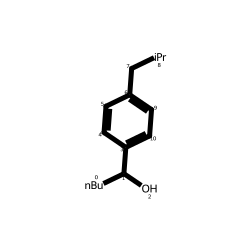 CCCCC(O)c1ccc(CC(C)C)cc1